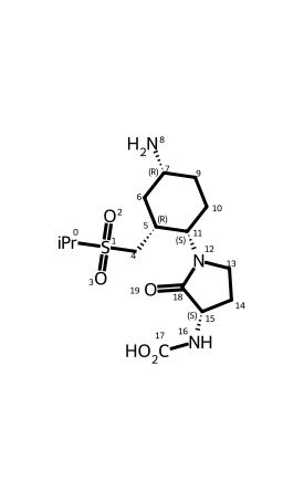 CC(C)S(=O)(=O)C[C@@H]1C[C@H](N)CC[C@@H]1N1CC[C@H](NC(=O)O)C1=O